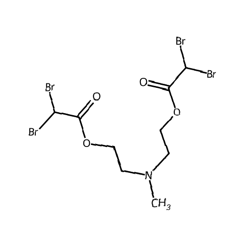 CN(CCOC(=O)C(Br)Br)CCOC(=O)C(Br)Br